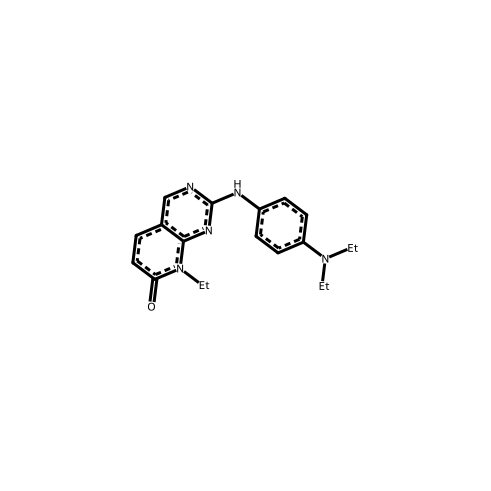 CCN(CC)c1ccc(Nc2ncc3ccc(=O)n(CC)c3n2)cc1